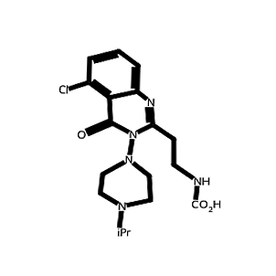 CC(C)N1CCN(n2c(CCNC(=O)O)nc3cccc(Cl)c3c2=O)CC1